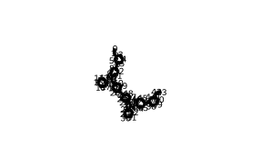 C=Cc1cccc(-c2ccc(N(c3ccccc3)c3ccc(-c4ccc(N(c5ccccc5)c5ccc(-c6cccc(C=C)c6)cc5)cc4)cc3)cc2)c1